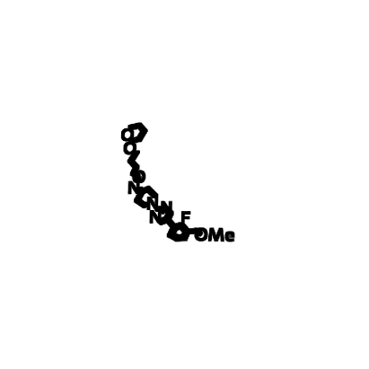 COCc1cccc(-c2cnc(N3CCC(=NOCCCCOC4CCCCO4)CC3)nc2)c1F